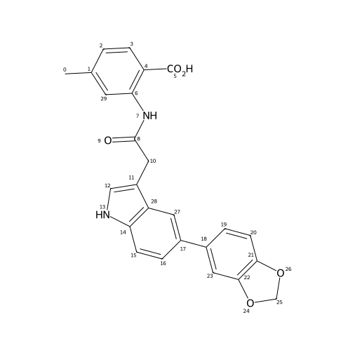 Cc1ccc(C(=O)O)c(NC(=O)Cc2c[nH]c3ccc(-c4ccc5c(c4)OCO5)cc23)c1